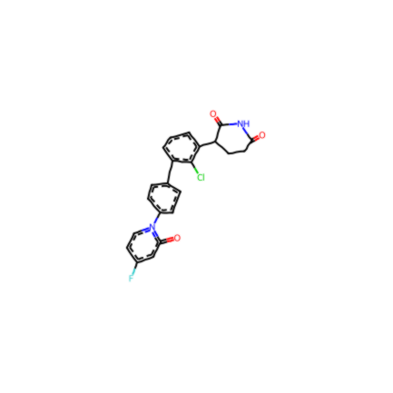 O=C1CCC(c2cccc(-c3ccc(-n4ccc(F)cc4=O)cc3)c2Cl)C(=O)N1